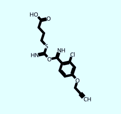 C#CCOc1ccc(C(=N)OC(=N)SCCCC(=O)O)c(Cl)c1